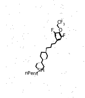 CCCCC[Si@H]1CC[C@H]([C@H]2CC[C@H](CCCCc3cc(F)c(OCC(F)(F)F)c(F)c3)CC2)CC1